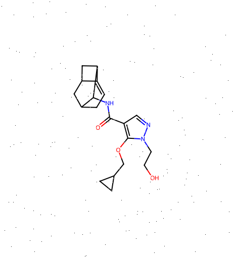 O=C(NC1C2CC=C3C(C2)CC31)c1cnn(CCO)c1OCC1CC1